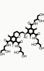 CC(=O)N(CC1CCc2c(I)c(C(=O)NCC(O)CO)c(I)c(C(=O)NCC(O)CO)c2O1)c1c(I)c(C(=O)NCC(O)CO)c(I)c(C(=O)NCC(O)CO)c1I